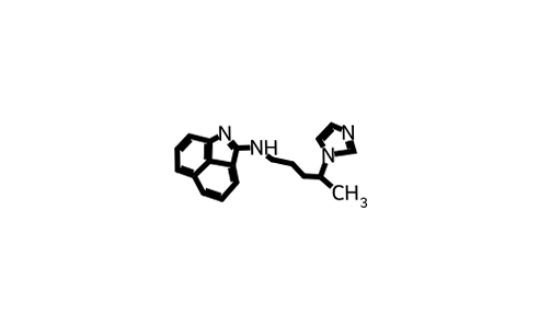 CC(CCCNC1=Nc2cccc3cccc1c23)n1ccnc1